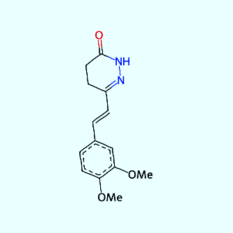 COc1ccc(C=CC2=NNC(=O)CC2)cc1OC